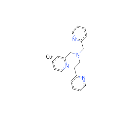 [Cu].c1ccc(CCN(Cc2ccccn2)Cc2ccccn2)nc1